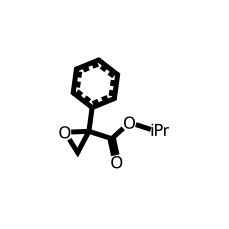 CC(C)OC(=O)C1(c2ccccc2)CO1